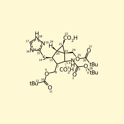 CC(C)(C)OC(=O)N[C@@]1(C(=O)O)C(COC(=O)C(C)(C)C)[C@@H](Sc2nc[nH]n2)[C@@H]2[C@@H](C(=O)O)[C@@]21COC(=O)C(C)(C)C